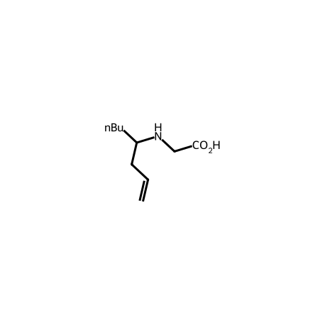 C=CCC(CCCC)NCC(=O)O